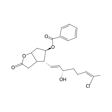 C/C(Cl)=C/CC[C@H](O)/C=C/[C@@H]1C2CC(=O)OC2C[C@H]1OC(=O)c1ccccc1